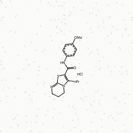 CCCC1=C(C(=O)Nc2ccc(OC)cc2)SC2=NCCCN21.Cl